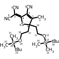 CC1=C(C#N)C(=C(C#N)C#N)SC1(CCO[Si](C)(C)C(C)(C)C)CCO[Si](C)(C)C(C)(C)C